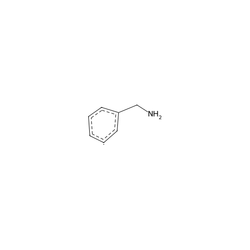 NCc1c[c]ccc1